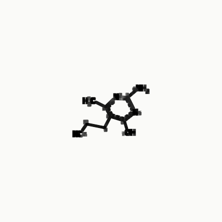 Cc1nc(N)nc(O)c1CCC#N